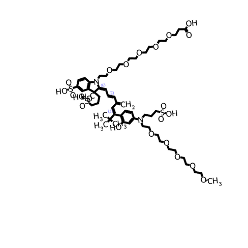 C=C(/C=C(\c1ccc(N(CCCS(=O)(=O)O)CCOCCOCCOCCOCCOC)cc1O)C(C)(C)C)/C=C/C=C1/N(CCOCCOCCOCCOCCOCCC(=O)O)c2ccc(S(=O)(=O)O)cc2C1(C)CCCS(=O)(=O)O